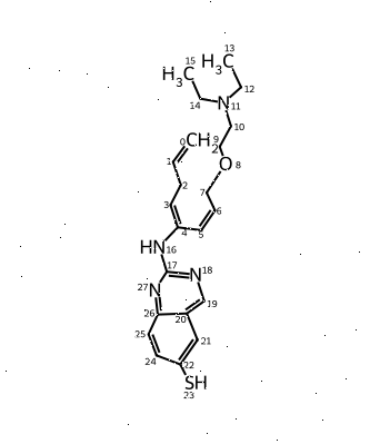 C=CC/C=C(\C=C/COCCN(CC)CC)Nc1ncc2cc(S)ccc2n1